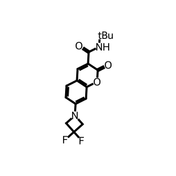 CC(C)(C)NC(=O)c1cc2ccc(N3CC(F)(F)C3)cc2oc1=O